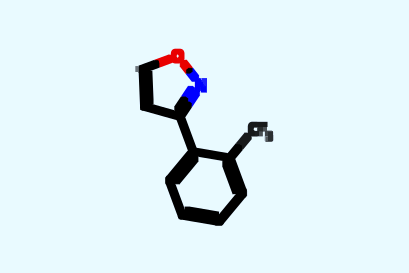 FC(F)(F)c1ccccc1-c1c[c]on1